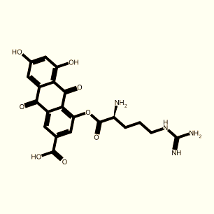 N=C(N)NCCC[C@H](N)C(=O)Oc1cc(C(=O)O)cc2c1C(=O)c1c(O)cc(O)cc1C2=O